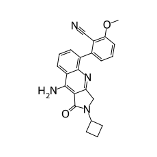 COc1cccc(-c2cccc3c(N)c4c(nc23)CN(C2CCC2)C4=O)c1C#N